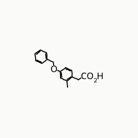 Cc1cc(OCc2ccccc2)ccc1CC(=O)O